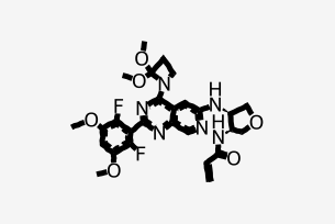 C=CC(=O)N[C@H]1COC[C@H]1Nc1cc2c(N3CCC3(OC)OC)nc(-c3c(F)c(OC)cc(OC)c3F)nc2cn1